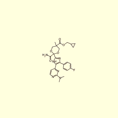 CN(C)c1nccc(-c2[nH]c(C3(C(N)=O)OCC(C)(C(=O)OCC4CC4)CO3)nc2-c2ccc(F)cc2)n1